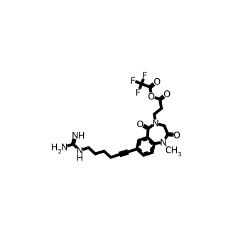 CN1C(=O)CN(CCC(=O)OC(=O)C(F)(F)F)C(=O)c2cc(C#CCCCCNC(=N)N)ccc21